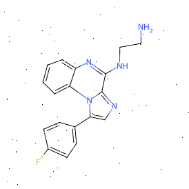 NCCNc1nc2ccccc2n2c(-c3ccc(F)cc3)cnc12